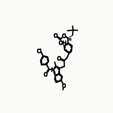 COc1ccc2c(c1)c(CC(=O)Cc1ccc([C@@H](CC(C)(C)C)OC(=O)O)cc1)c(C)n2C(=O)c1ccc(Cl)cc1